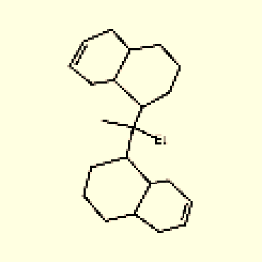 [CH2]CC(C)(C1CCCC2CC=CCC21)C1CCCC2CC=CCC21